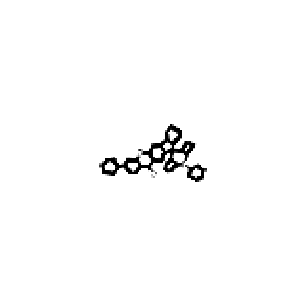 O=c1c2ccc(-c3ccccc3)cc2oc2cc3c(cc12)C1(c2ccccc2-3)c2ccccc2N(c2ccccc2)c2ccccc21